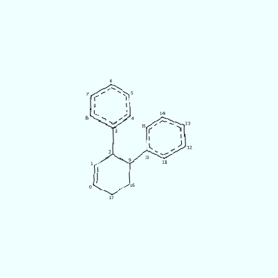 C1=CC(c2ccccc2)C(c2ccccc2)CC1